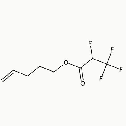 C=CCCCOC(=O)C(F)C(F)(F)F